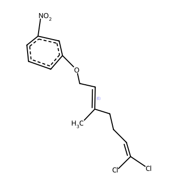 C/C(=C\COc1cccc([N+](=O)[O-])c1)CCC=C(Cl)Cl